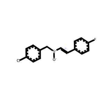 [O-][S+](/C=C/c1ccc(F)cc1)Cc1ccc(Cl)cc1